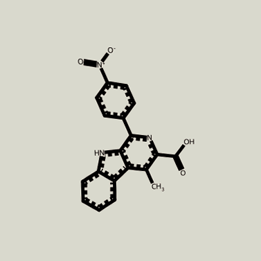 Cc1c(C(=O)O)nc(-c2ccc([N+](=O)[O-])cc2)c2[nH]c3ccccc3c12